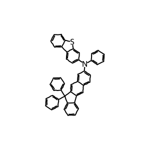 c1ccc(N(c2ccc3cc4c(cc3c2)C(c2ccccc2)(c2ccccc2)c2ccccc2-4)c2ccc3c(c2)sc2ccccc23)cc1